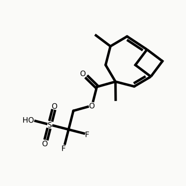 CC1C=C2CC(=CC(C)(C(=O)OCC(F)(F)S(=O)(=O)O)C1)C2